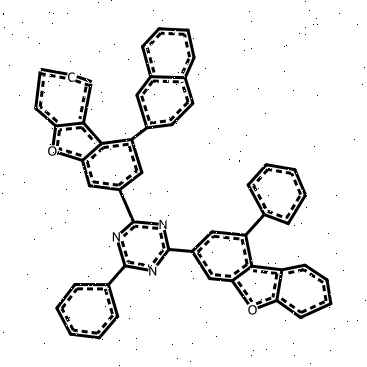 c1ccc(-c2nc(-c3cc(-c4ccccc4)c4c(c3)oc3ccccc34)nc(-c3cc(-c4ccc5ccccc5c4)c4c(c3)oc3ccccc34)n2)cc1